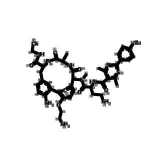 Cc1nc(-c2ccc(C(C)(C)C)cc2)nc(C)c1C(=O)NC(CCN)C(=O)N(C)C1C(=O)NC(C)C(=O)NC(C(=O)NCC#N)Cc2ccc(N)c(c2)-c2cc1ccc2OCCN